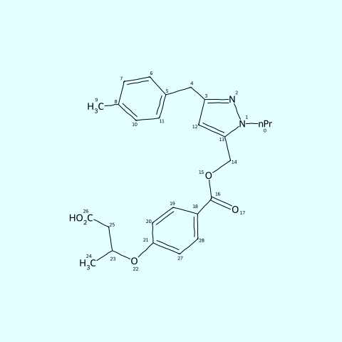 CCCn1nc(Cc2ccc(C)cc2)cc1COC(=O)c1ccc(OC(C)CC(=O)O)cc1